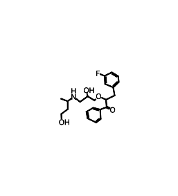 CC(CCO)NCC(O)COC(Cc1cccc(F)c1)C(=O)c1ccccc1